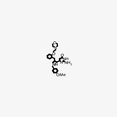 COc1ccc(Cn2cc(Cc3ccccc3OCCN3CCOCC3)c(-c3cc(=O)[nH]c(N)n3)n2)cc1